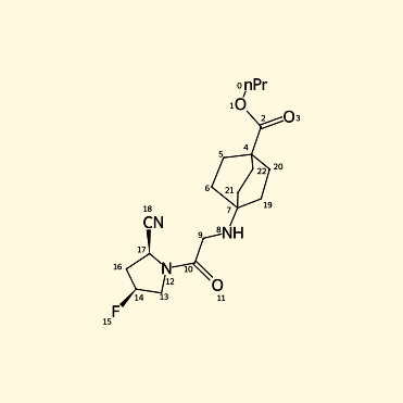 CCCOC(=O)C12CCC(NCC(=O)N3C[C@@H](F)C[C@H]3C#N)(CC1)CC2